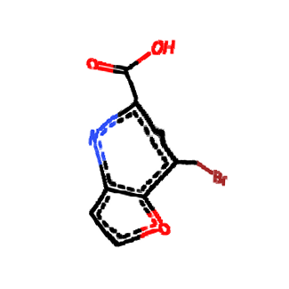 O=C(O)c1cc(Br)c2occc2n1